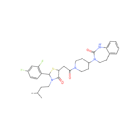 CC(C)CCN1C(=O)C(CC(=O)N2CCC(N3CCc4ccccc4NC3=O)CC2)SC1c1ccc(F)cc1F